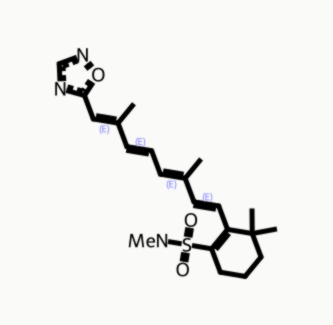 CNS(=O)(=O)C1=C(/C=C/C(C)=C/C=C/C(C)=C/c2ncno2)C(C)(C)CCC1